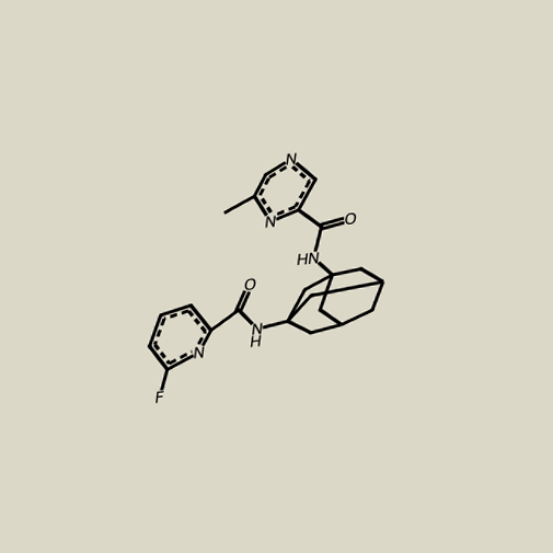 Cc1cncc(C(=O)NC23CC4CC(C2)CC(NC(=O)c2cccc(F)n2)(C4)C3)n1